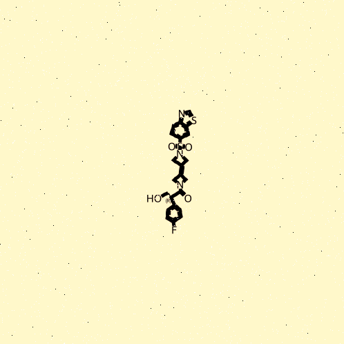 O=C([C@@H](CO)c1ccc(F)cc1)N1CC(=C2CN(S(=O)(=O)c3ccc4ncsc4c3)C2)C1